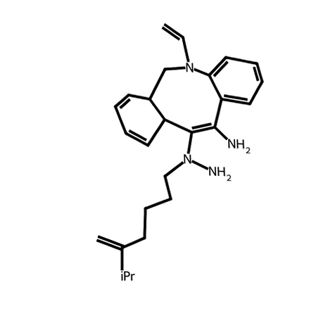 C=CN1CC2C=CC=CC2/C(N(N)CCCCC(=C)C(C)C)=C(/N)c2ccccc21